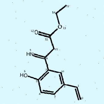 C=Cc1ccc(O)c(C(=N)CC(=O)OCC)c1